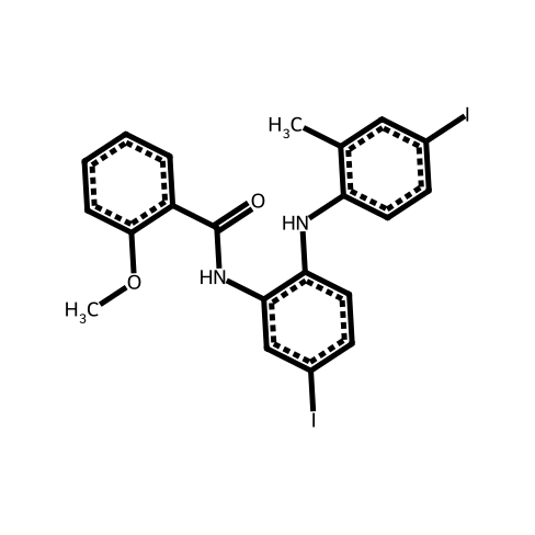 COc1ccccc1C(=O)Nc1cc(I)ccc1Nc1ccc(I)cc1C